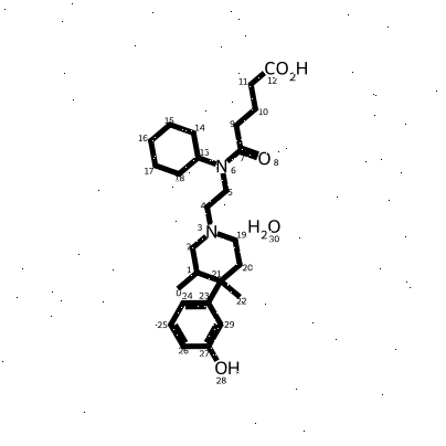 CC1CN(CCN(C(=O)CCCC(=O)O)C2CCCCC2)CCC1(C)c1cccc(O)c1.O